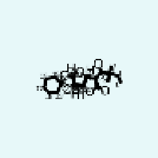 CCC(C)(C)C(=O)C1C(=O)O[C@@H]2[C@H]3OC4(CCCCC4)O[C@H]3O[C@H]12